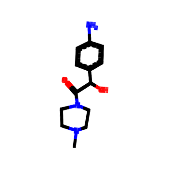 CN1CCN(C(=O)C(O)c2ccc(N)cc2)CC1